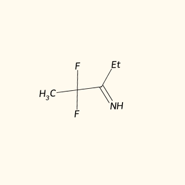 CCC(=N)C(C)(F)F